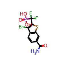 NC(=O)c1ccc2c(Br)c(C(F)(F)P(=O)(O)O)sc2c1